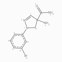 NC(=O)C1(N)C=NN(c2cccc(Br)c2)C1